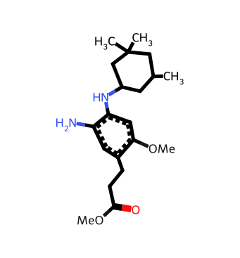 COC(=O)CCc1cc(N)c(NC2CC(C)CC(C)(C)C2)cc1OC